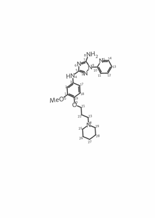 COc1cc(Nc2nc(N)n(-c3ccccn3)n2)ccc1OCCCN1CCCCC1